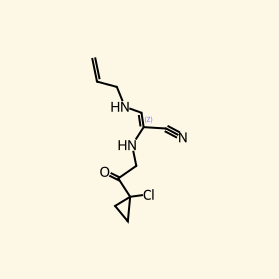 C=CCN/C=C(/C#N)NCC(=O)C1(Cl)CC1